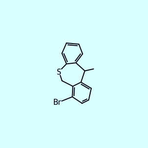 CC1c2ccccc2SCc2c(Br)cccc21